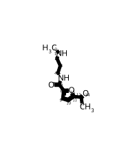 CNCCCNC(=O)c1ccc(C(C)=O)o1